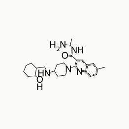 Cc1ccc2nc(N3CCC(NCC4CCCCC4O)CC3)c(C(=O)NC(C)N)cc2c1